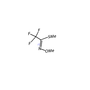 CO/N=C(\SC)C(F)(F)F